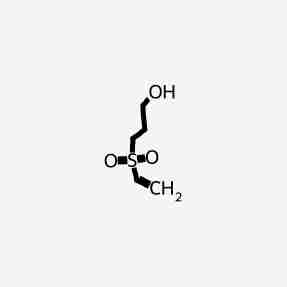 C=CS(=O)(=O)CCCO